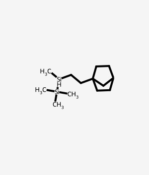 C[SiH](CCC12CCC(CC1)C2)[Si](C)(C)C